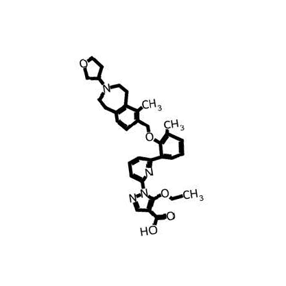 CCOc1c(C(=O)O)cnn1-c1cccc(-c2cccc(C)c2OCc2ccc3c(c2C)CCN(C2CCOC2)CC3)n1